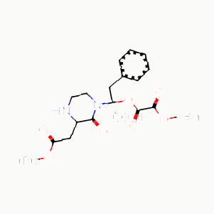 CC(C)(C)OC(=O)CC1NCCN([C@@](Cc2ccccc2)(OC(=O)C(=O)OC(C)(C)C)C(=O)O)C1=O